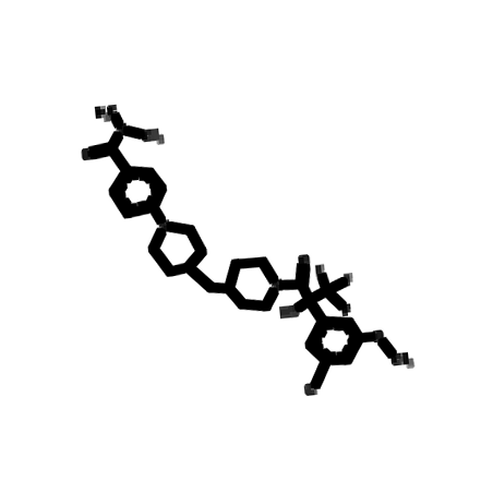 COc1cc(Cl)cc(C(O)(C(=O)N2CCC(CC3CCN(c4ccc(C(=O)N(C)C)cc4)CC3)CC2)C(F)(F)F)c1